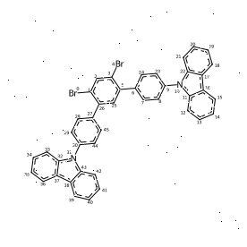 Brc1cc(Br)c(-c2ccc(-n3c4ccccc4c4ccccc43)cc2)cc1-c1ccc(-n2c3ccccc3c3ccccc32)cc1